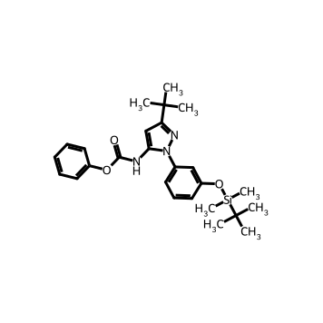 CC(C)(C)c1cc(NC(=O)Oc2ccccc2)n(-c2cccc(O[Si](C)(C)C(C)(C)C)c2)n1